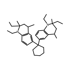 CCN1c2ccc(C3(c4ccc5c(c4)C(C)CC(C)(CC)N5CC)CCCCC3)cc2C(C)CC1(C)CC